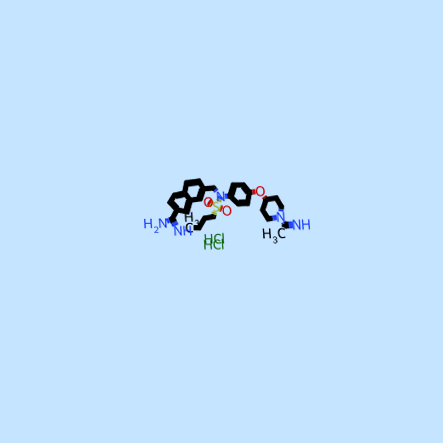 CCCCS(=O)(=O)N(Cc1ccc2ccc(C(=N)N)cc2c1)c1ccc(OC2CCN(C(C)=N)CC2)cc1.Cl.Cl